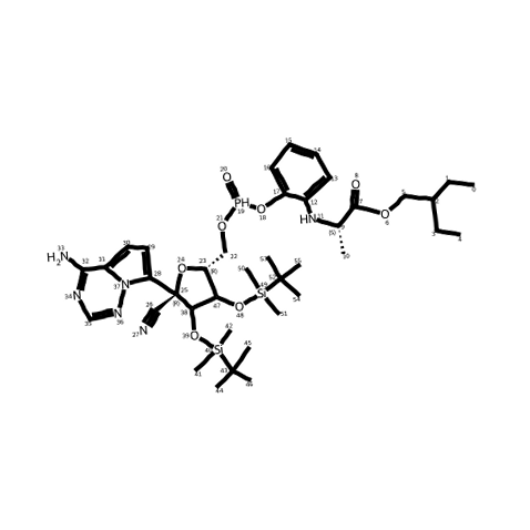 CCC(CC)COC(=O)[C@H](C)Nc1ccccc1O[PH](=O)OC[C@H]1O[C@@](C#N)(c2ccc3c(N)ncnn23)C(O[Si](C)(C)C(C)(C)C)C1O[Si](C)(C)C(C)(C)C